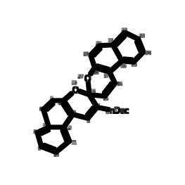 CCCCCCCCCCC1=Cc2c(ccc3ccccc23)OC12C=Cc1c(ccc3ccccc13)O2